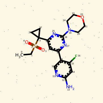 CCS(=O)(=O)C1(c2cc(-c3cnc(N)cc3F)nc(N3CCOCC3)n2)CC1